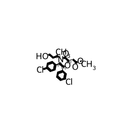 COC(=O)C[C@@H]1O[C@H](c2cccc(Cl)c2)[C@@H](c2ccc(Cl)cc2)N([C@@H](C)CCO)C1=O